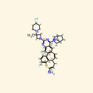 CC1(N2CCC(F)CC2)CN(c2nc(N3CC4CCC(C3)N4)c3cc4c(c(F)c3n2)-c2ccc(F)c3c2C(C=C4)CC=C(N)S3)C1